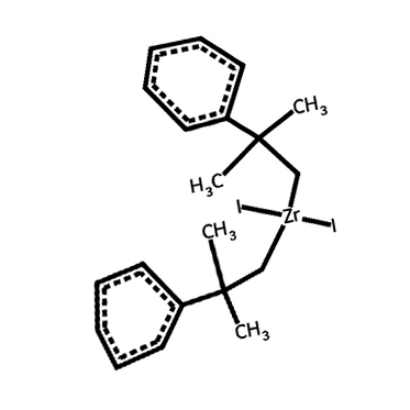 CC(C)([CH2][Zr]([I])([I])[CH2]C(C)(C)c1ccccc1)c1ccccc1